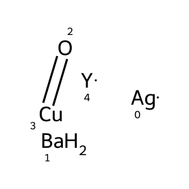 [Ag].[BaH2].[O]=[Cu].[Y]